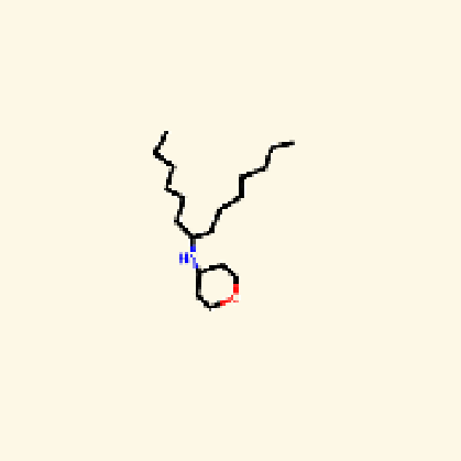 CCCCCCCC(CCCCCC)NC1CCOCC1